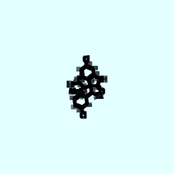 CCC(CC)[C@H](NC)[C@]1([C@@H](CC)C2C=CC=C(Cl)C2)C(=O)Nc2cc(Cl)ccc21